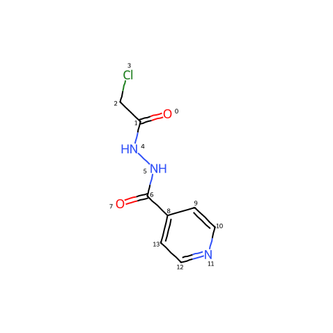 O=C(CCl)NNC(=O)c1ccncc1